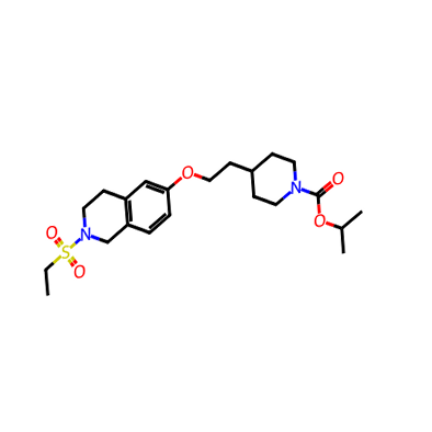 CCS(=O)(=O)N1CCc2cc(OCCC3CCN(C(=O)OC(C)C)CC3)ccc2C1